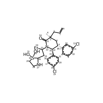 C=CC[C@@]1(C)C[C@H](c2cccc(Cl)c2)[C@@H](c2ccc(Cl)cc2)N(C(CC)CC2NCCS2(O)O)C1=O